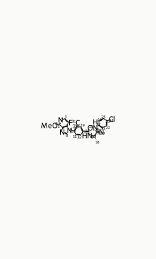 COc1nccc2c1ncn2-c1ccc(C(=O)N[C@@H](C)c2nc3cc(Cl)ccc3[nH]2)cc1C(F)(F)F